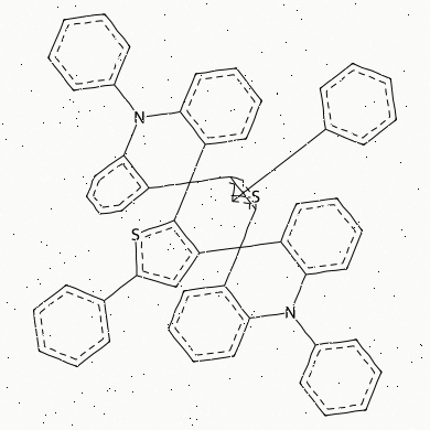 c1ccc(-c2cc3c(s2)C2(c4ccccc4N(c4ccccc4)c4ccccc42)c2cc(-c4ccccc4)sc2C32c3ccccc3N(c3ccccc3)c3ccccc32)cc1